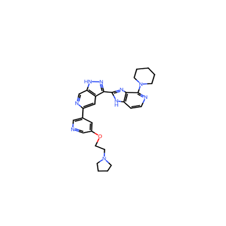 c1cc2[nH]c(-c3n[nH]c4cnc(-c5cncc(OCCN6CCCC6)c5)cc34)nc2c(N2CCCCC2)n1